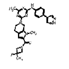 Cc1nc(Nc2ccc(-c3cn[nH]c3)cc2)nc(N2CCc3cc(C(=O)N4CC(C)(F)C4)n(C)c3C2)n1